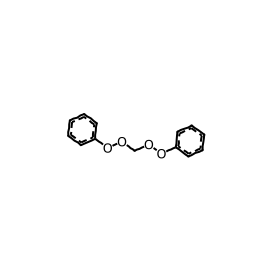 c1ccc(OOCOOc2ccccc2)cc1